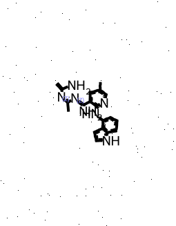 C=C(N)/N=C(C)\N=C(/N)c1cc(C)cnc1Nc1cccc2[nH]ccc12